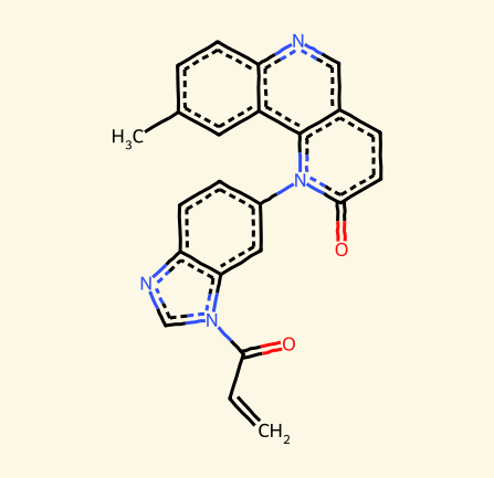 C=CC(=O)n1cnc2ccc(-n3c(=O)ccc4cnc5ccc(C)cc5c43)cc21